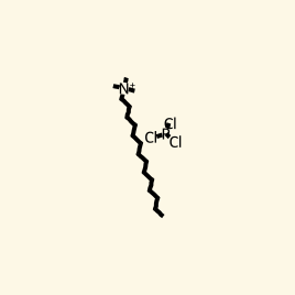 CCCCCCCCCCCCCC[N+](C)(C)C.ClP(Cl)Cl